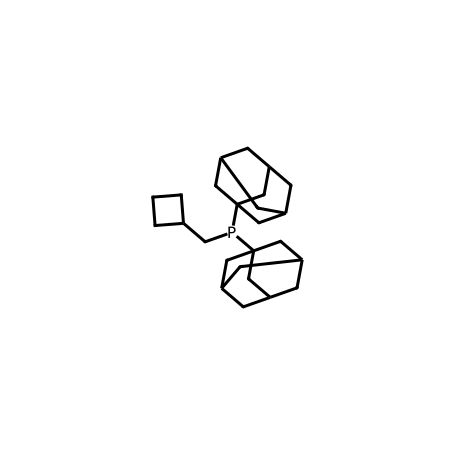 C1CC(CP(C23CC4CC(CC(C4)C2)C3)C23CC4CC(CC(C4)C2)C3)C1